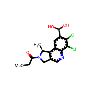 COCC(=O)N1Cc2cnc3c(Cl)c(Cl)c(B(O)O)cc3c2[C@@H]1C